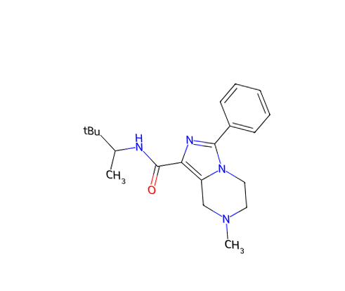 CC(NC(=O)c1nc(-c2ccccc2)n2c1CN(C)CC2)C(C)(C)C